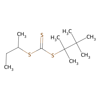 CCC(C)SC(=S)SC(C)(C)C(C)(C)C